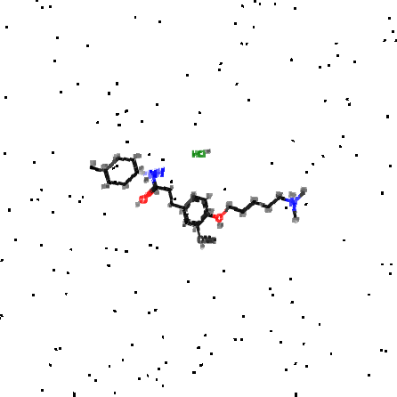 COc1cc(CCC(=O)N[C@H]2CC[C@H](C)CC2)ccc1OCCCCCN(C)C.Cl